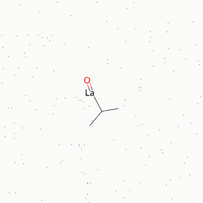 C[CH](C)[La]=[O]